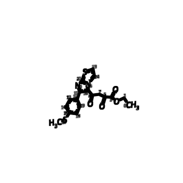 CCOC(=O)C(=O)CC(=O)c1c(-c2ccc(SC)cc2)nc2sccn12